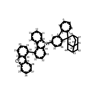 c1ccc2c(c1)-c1cc(-n3c4ccccc4c4c(-c5cccc6oc7ccccc7c56)cccc43)ccc1C21C2CC3CC(C2)CC1C3